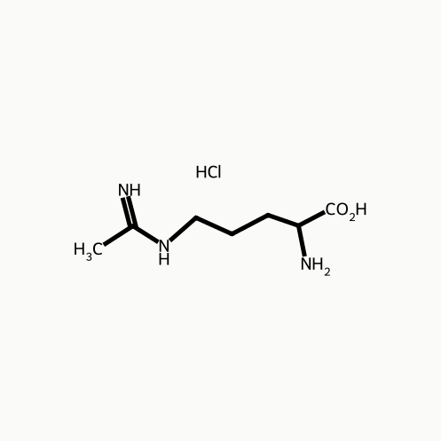 CC(=N)NCCCC(N)C(=O)O.Cl